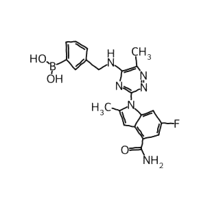 Cc1nnc(-n2c(C)cc3c(C(N)=O)cc(F)cc32)nc1NCc1cccc(B(O)O)c1